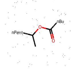 CCCCCC(C)OC(=O)CCCC